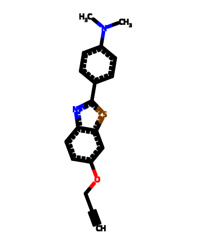 C#CCOc1ccc2nc(-c3ccc(N(C)C)cc3)sc2c1